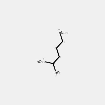 CCCCCCCC[CH]CCCC(CCC)CCCCCCCC